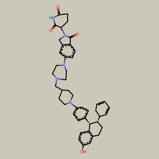 O=C1CCC(N2Cc3cc(N4CCN(CC5CCN(c6ccc([C@@H]7c8ccc(O)cc8CC[C@@H]7C7C=CC=CC7)cc6)CC5)CC4)ccc3C2=O)C(=O)N1